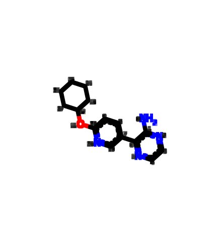 Nc1nccnc1-c1ccc(OC2CCCCC2)nc1